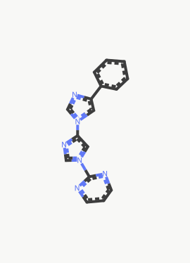 c1ccc(-c2cn(-c3cn(-c4ncccn4)cn3)cn2)cc1